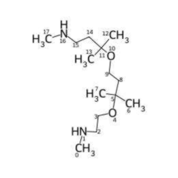 CNCCOC(C)(C)CCOC(C)(C)CCNC